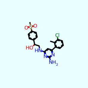 Cc1c(Cl)cccc1-c1cc(NCC(O)c2ccc(S(C)(=O)=O)cc2)nc(N)n1